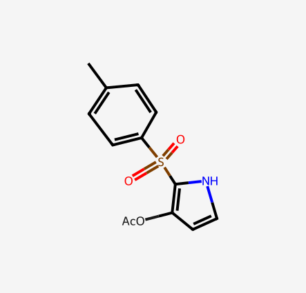 CC(=O)Oc1cc[nH]c1S(=O)(=O)c1ccc(C)cc1